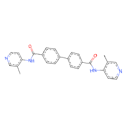 Cc1cnccc1NC(=O)c1ccc(-c2ccc(C(=O)Nc3ccncc3C)cc2)cc1